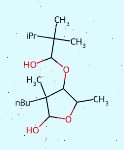 CCCCC1(C)C(O)OC(C)C1OC(O)C(C)(C)C(C)C